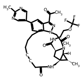 CC(=O)c1nn2c3c(cc(-c4cnc(C)nc4)cc13)CCCCCCC(=O)NC[C@@]13C[C@@H](C(=O)N[C@@H](C)COC(F)(F)F)N(C(=O)C2)[C@@H]1[C@@H]3C